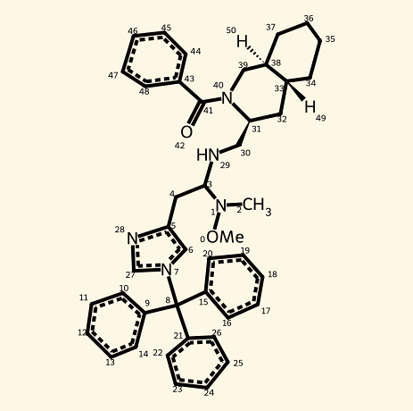 CON(C)C(Cc1cn(C(c2ccccc2)(c2ccccc2)c2ccccc2)cn1)NC[C@@H]1C[C@H]2CCCC[C@@H]2CN1C(=O)c1ccccc1